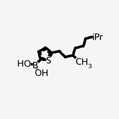 CC(C)CCCC(C)CCc1ccc(B(O)O)s1